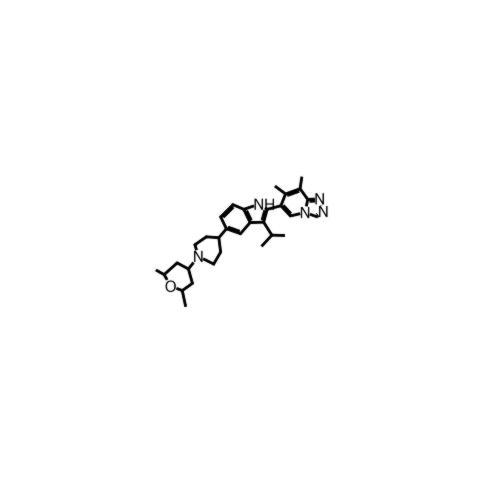 Cc1c(-c2[nH]c3ccc(C4CCN(C5CC(C)OC(C)C5)CC4)cc3c2C(C)C)cn2cnnc2c1C